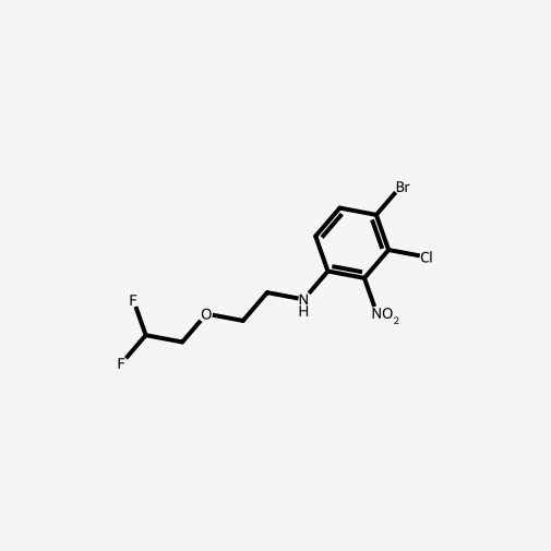 O=[N+]([O-])c1c(NCCOCC(F)F)ccc(Br)c1Cl